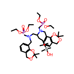 CCOP(=O)(CN(Cc1cccc2c1OC(C)(C)OC2)CC(CCC(C)(C)[Si](C)(C)O)N(Cc1cccc2c1OC(C)(C)OC2)CP(=O)(OCC)OCC)OCC